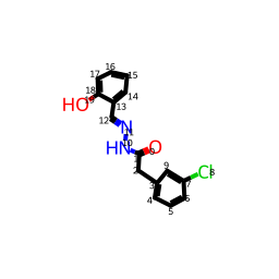 O=C(Cc1cccc(Cl)c1)NN=Cc1ccccc1O